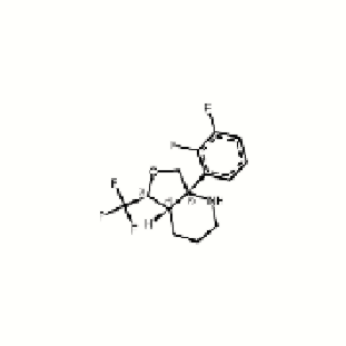 Fc1cccc([C@]23CO[C@H](C(F)(F)F)[C@H]2CCCN3)c1F